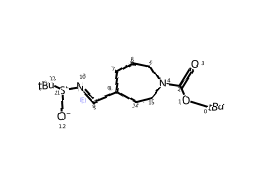 CC(C)(C)OC(=O)N1CCCC(/C=N/[S+]([O-])C(C)(C)C)CC1